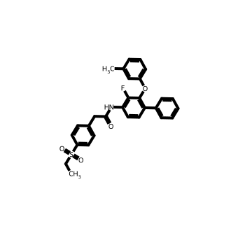 CCS(=O)(=O)c1ccc(CC(=O)Nc2ccc(-c3ccccc3)c(Oc3cccc(C)c3)c2F)cc1